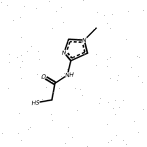 Cn1cnc(NC(=O)CS)c1